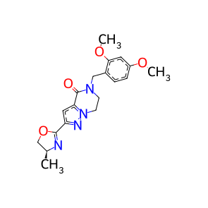 COc1ccc(CN2CCn3nc(C4=N[C@@H](C)CO4)cc3C2=O)c(OC)c1